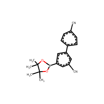 CC1(C)OB(c2cc(C#N)cc(-c3ccc(C#N)cc3)c2)OC1(C)C